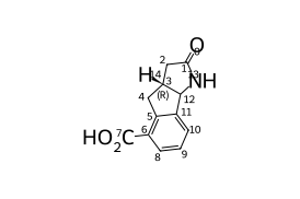 O=C1C[C@H]2Cc3c(C(=O)O)cccc3C2N1